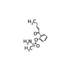 CCC=CC(=O)c1ccccc1OC(=O)[C@H](C)N